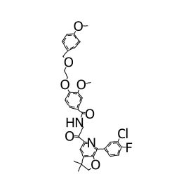 COc1ccc(COCCOc2ccc(C(=O)NCC(=O)c3cc4c(c(-c5ccc(F)c(Cl)c5)n3)OCC4(C)C)cc2OC)cc1